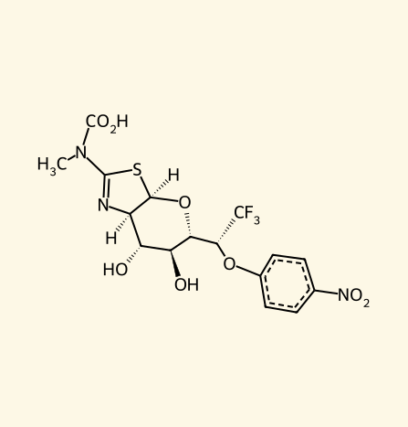 CN(C(=O)O)C1=N[C@@H]2[C@@H](O)[C@H](O)[C@@H]([C@@H](Oc3ccc([N+](=O)[O-])cc3)C(F)(F)F)O[C@@H]2S1